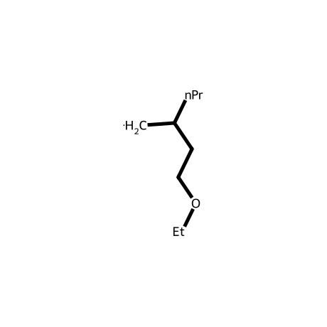 [CH2]C(CCC)CCOCC